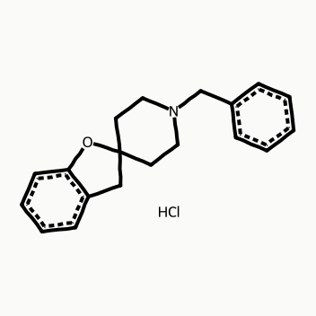 Cl.c1ccc(CN2CCC3(CC2)Cc2ccccc2O3)cc1